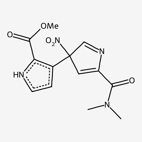 COC(=O)c1[nH]ccc1C1([N+](=O)[O-])C=NC(C(=O)N(C)C)=C1